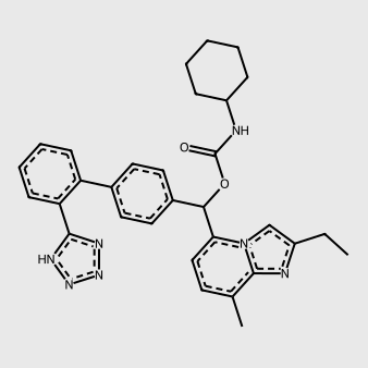 CCc1cn2c(C(OC(=O)NC3CCCCC3)c3ccc(-c4ccccc4-c4nnn[nH]4)cc3)ccc(C)c2n1